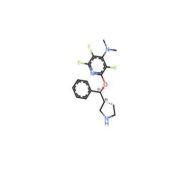 CN(C)c1c(F)c(F)nc(O[C@H](c2ccccc2)[C@@H]2CCNC2)c1F